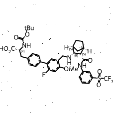 COc1cc(F)c(-c2ccc(C[C@@H](NC(=O)OC(C)(C)C)C(=O)O)cc2)cc1CN[C@@H]1[C@H]2CC[C@H](C2)[C@@H]1C(=O)Nc1cccc(S(=O)(=O)C(F)(F)F)c1